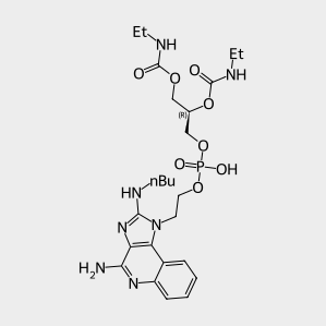 CCCCNc1nc2c(N)nc3ccccc3c2n1CCOP(=O)(O)OC[C@@H](COC(=O)NCC)OC(=O)NCC